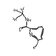 [2H]C([2H])([2H])NC(=O)c1cccc(F)n1